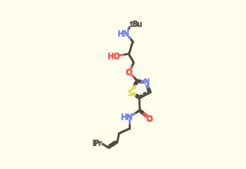 CC(C)/C=C\CCNC(=O)c1cnc(OCC(O)CNC(C)(C)C)s1